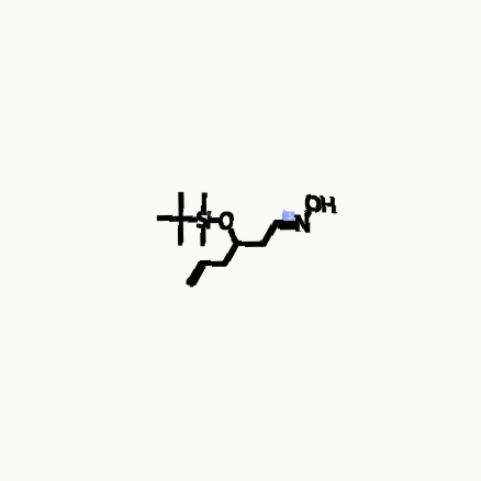 C=CCC(C/C=N/O)O[Si](C)(C)C(C)(C)C